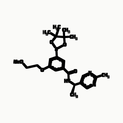 COCCOc1cc(B2OC(C)(C)C(C)(C)O2)cc(C(=O)N[C@H](C)c2cnc(C)nc2)c1